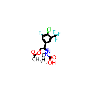 CC(=O)OC/C(=N\N(C)C(=O)O)c1cc(F)c(Cl)c(C(F)(F)F)c1